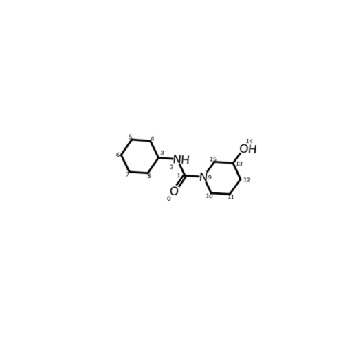 O=C(NC1CCCCC1)N1CCCC(O)C1